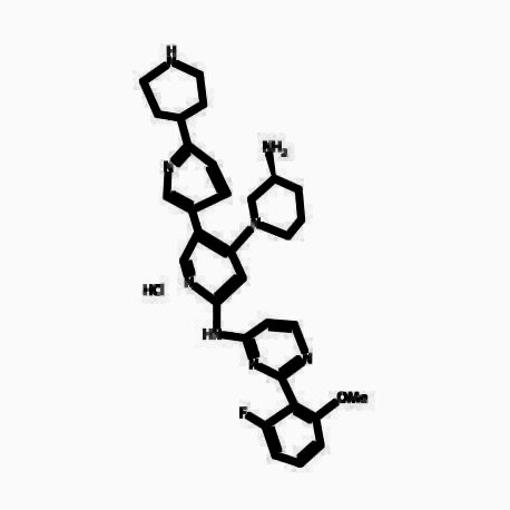 COc1cccc(F)c1-c1nccc(Nc2cc(N3CCC[C@H](N)C3)c(-c3ccc(C4CCNCC4)nc3)cn2)n1.Cl